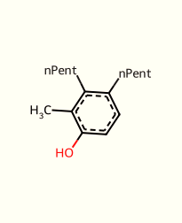 CCCCCc1ccc(O)c(C)c1CCCCC